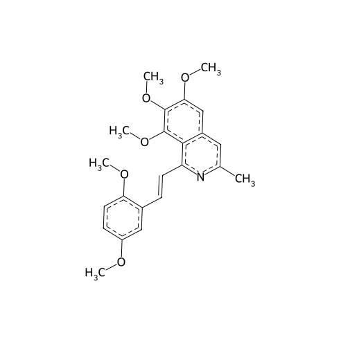 COc1ccc(OC)c(C=Cc2nc(C)cc3cc(OC)c(OC)c(OC)c23)c1